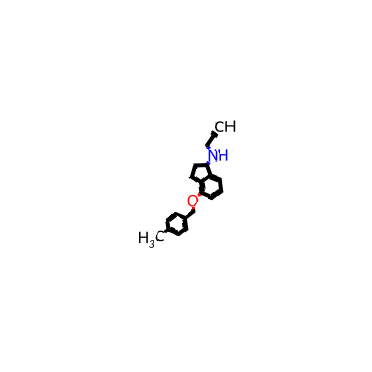 C#CCNC1CCc2c(OCc3ccc(C)cc3)cccc21